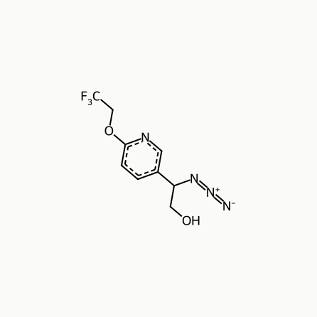 [N-]=[N+]=NC(CO)c1ccc(OCC(F)(F)F)nc1